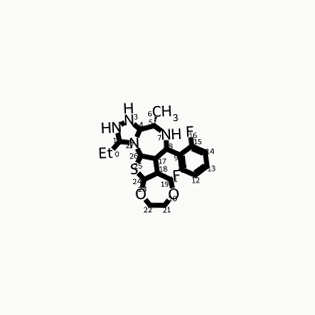 CCC1NNC2[C@H](C)NC(c3c(F)cccc3F)C3C4COCCOC4SC3N12